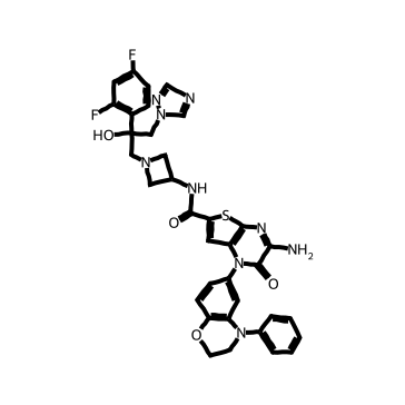 Nc1nc2sc(C(=O)NC3CN(CC(O)(Cn4cncn4)c4ccc(F)cc4F)C3)cc2n(-c2ccc3c(c2)N(c2ccccc2)CCO3)c1=O